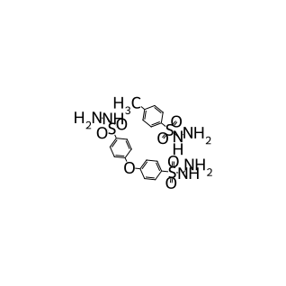 Cc1ccc(S(=O)(=O)NN)cc1.NNS(=O)(=O)c1ccc(Oc2ccc(S(=O)(=O)NN)cc2)cc1